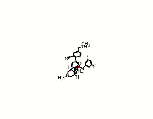 CNCc1ccc(-c2ccc([C@]3(O)[C@@H]4CN(C)C[C@H]3CN(C(=O)Nc3cc(F)cc(F)c3)C4)nc2)c(C#N)c1